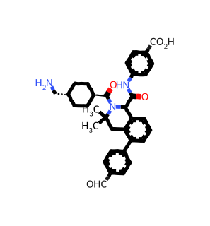 CC1(C)Cc2c(-c3ccc(C=O)cc3)cccc2C(C(=O)Nc2ccc(C(=O)O)cc2)N1C(=O)[C@H]1CC[C@H](CN)CC1